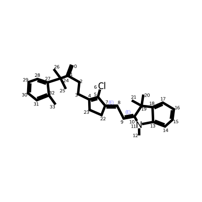 C=C(CCC1=C(Cl)/C(=C/C=C2/N(C)c3ccccc3C2(C)C)CC1)C(C)(C)c1ccccc1C